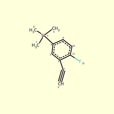 C#Cc1cc([Si](C)(C)C)ccc1F